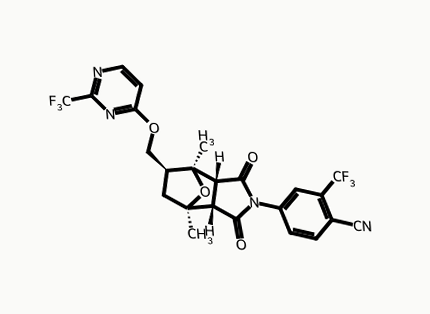 C[C@]12O[C@](C)(C[C@H]1COc1ccnc(C(F)(F)F)n1)[C@H]1C(=O)N(c3ccc(C#N)c(C(F)(F)F)c3)C(=O)[C@H]12